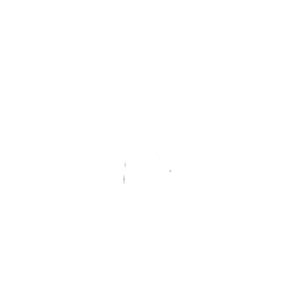 O=[As](O)(O)[O][Ta]